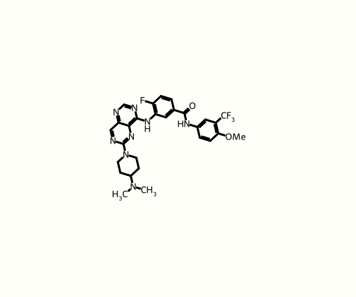 COc1ccc(NC(=O)c2ccc(F)c(Nc3ncnc4cnc(N5CCC(N(C)C)CC5)nc34)c2)cc1C(F)(F)F